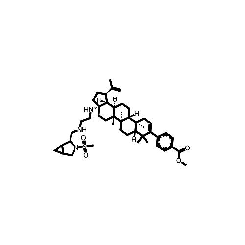 C=C(C)[C@@H]1CC[C@]2(NCCNC[C@@H]3C4CC4CN3S(C)(=O)=O)CC[C@]3(C)[C@H](CC[C@@H]4[C@@]5(C)CC=C(c6ccc(C(=O)OC)cc6)C(C)(C)[C@@H]5CC[C@]43C)[C@@H]12